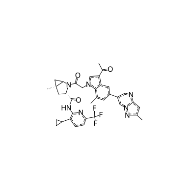 CC(=O)c1cn(CC(=O)N2C3C[C@]3(C)C[C@H]2C(=O)Nc2nc(C(F)(F)F)ccc2C2CC2)c2c(C)cc(-c3cnc4cc(C)nn4c3)cc12